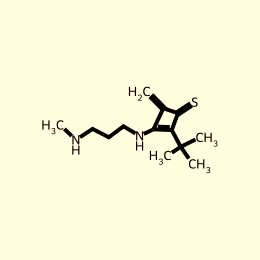 C=C1C(=S)C(C(C)(C)C)=C1NCCCNC